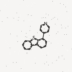 [c]1cccc2sc3c(-c4ccncc4)cccc3c12